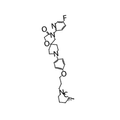 C[C@H]1CCCN(CCCOc2ccc(N3CCC4(CC3)CN(c3ccc(F)cn3)C(=O)CO4)cc2)C1